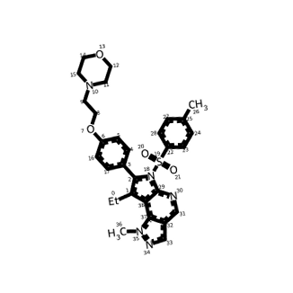 CCc1c(-c2ccc(OCCN3CCOCC3)cc2)n(S(=O)(=O)c2ccc(C)cc2)c2ncc3cnn(C)c3c12